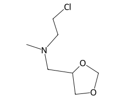 CN(CCCl)CC1COCO1